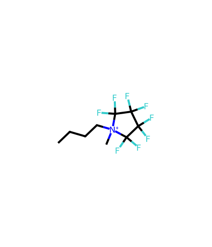 CCCC[N+]1(C)C(F)(F)C(F)(F)C(F)(F)C1(F)F